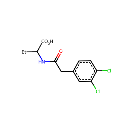 CCC(NC(=O)Cc1ccc(Cl)c(Cl)c1)C(=O)O